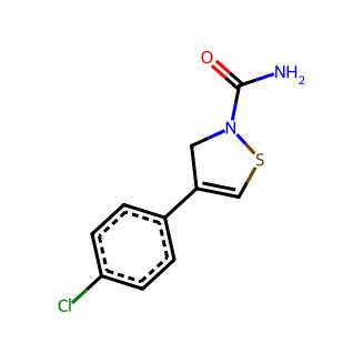 NC(=O)N1CC(c2ccc(Cl)cc2)=CS1